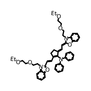 CCOCCOCCN1/C(=C/C=C2\CCC(/C=C/c3oc4ccccc4[n+]3CCOCCOCC)=C2N(c2ccccc2)c2ccccc2)Oc2ccccc21